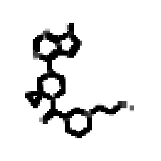 NCCN1CCCC(C(=O)N2CCN(c3ncnc4[nH]ccc34)CC23CC3)C1